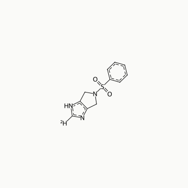 [2H]c1nc2c([nH]1)CN(S(=O)(=O)c1ccccc1)C2